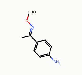 C/C(=N\OC=O)c1ccc(N)cc1